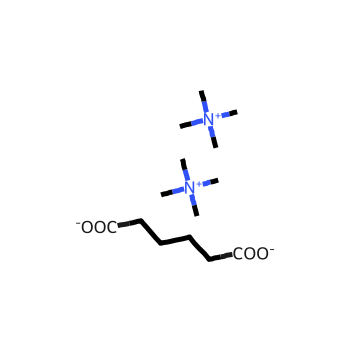 C[N+](C)(C)C.C[N+](C)(C)C.O=C([O-])CCCCC(=O)[O-]